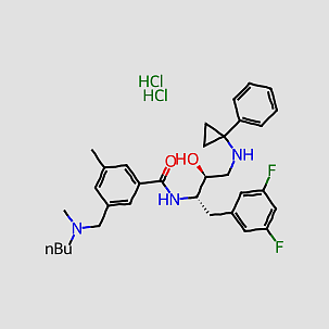 CCCCN(C)Cc1cc(C)cc(C(=O)N[C@@H](Cc2cc(F)cc(F)c2)[C@@H](O)CNC2(c3ccccc3)CC2)c1.Cl.Cl